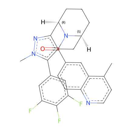 Cc1ccnc2ccc(C(=O)N3[C@H]4CCC[C@@H]3c3nn(C)c(-c5cc(F)c(F)c(F)c5)c3C4)cc12